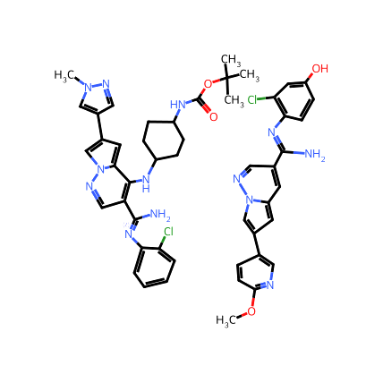 COc1ccc(-c2cc3cc(C(N)=Nc4ccc(O)cc4Cl)cnn3c2)cn1.Cn1cc(-c2cc3c(NC4CCC(NC(=O)OC(C)(C)C)CC4)c(/C(N)=N/c4ccccc4Cl)cnn3c2)cn1